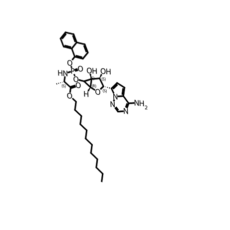 CCCCCCCCCCCCOC(=O)[C@H](C)NP(=O)(Oc1cccc2ccccc12)OC1[C@H]2O[C@@H](c3ccc4c(N)ncnn34)[C@H](O)[C@@]12O